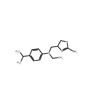 CCN(CC1COC(N)=N1)c1ccc(C(C)C)cc1